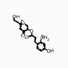 Nc1cc(O)ccc1/C=C/C(=O)Oc1coc(CO)cc1=O